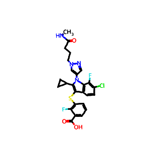 CNC(=O)CCCn1cc(-n2c(C3CC3)c(Sc3cccc(C(=O)O)c3F)c3ccc(Cl)c(F)c32)cn1